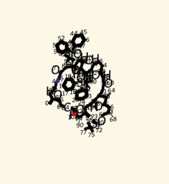 C=C1C[C@@H]2/C=C/C(=O)C[C@H]3O[C@H]4[C@@H](O[Si](c5ccccc5)(c5ccccc5)C(C)(C)C)[C@H]5O[C@H](CC[C@@H]5O[C@H]4[C@H]3O[Si](c3ccccc3)(c3ccccc3)C(C)(C)C)CC(=O)CC3[C@@H](C)C(C[C@H](C)CO[Si](C)(C)C(C)(C)C)O[C@H]3CC3O[C@@H](CCC1O2)C[C@@H](C)C3=C